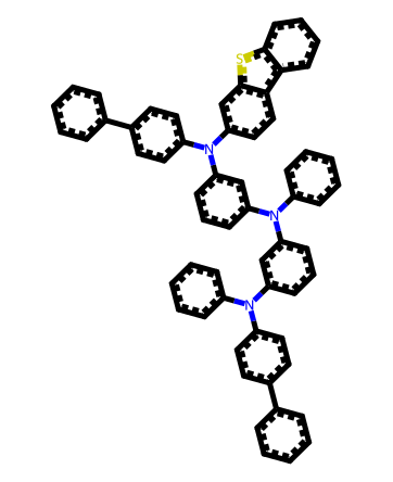 c1ccc(-c2ccc(N(c3ccccc3)c3cccc(N(c4ccccc4)c4cccc(N(c5ccc(-c6ccccc6)cc5)c5ccc6c(c5)sc5ccccc56)c4)c3)cc2)cc1